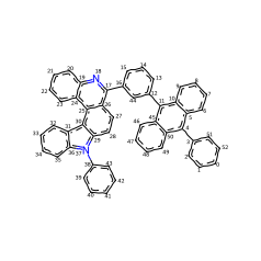 c1ccc(-c2c3ccccc3c(-c3cccc(-c4nc5ccccc5c5c4ccc4c5c5ccccc5n4-c4ccccc4)c3)c3ccccc23)cc1